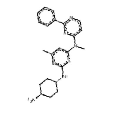 Cc1cc(N(C)c2ccnc(-c3ccccc3)n2)nc(N[C@H]2CC[C@H](N)CC2)n1